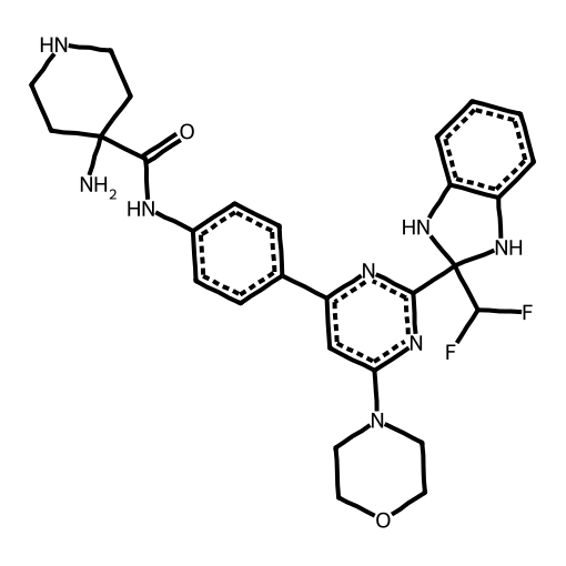 NC1(C(=O)Nc2ccc(-c3cc(N4CCOCC4)nc(C4(C(F)F)Nc5ccccc5N4)n3)cc2)CCNCC1